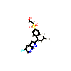 CC(C)C[C@H](c1ccc(S(=O)(=O)CCO)cc1)c1cc2cc(F)cnc2[nH]1